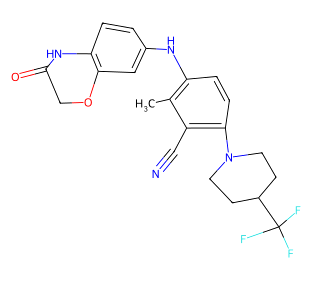 Cc1c(Nc2ccc3c(c2)OCC(=O)N3)ccc(N2CCC(C(F)(F)F)CC2)c1C#N